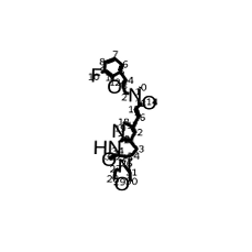 CN(Cc1cc2cccc(F)c2o1)C(=O)/C=C/c1cnc2c(c1)CCC(N1CCOCC1)C(=O)N2